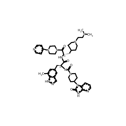 Cc1cc(C[C@H](NC(=O)N2CCC(n3c(=O)[nH]c4ncccc43)CC2)C(=O)N[C@@H](CC2CCN(CCN(C)C)CC2)C(=O)N2CCN(c3ccncc3)CC2)cc2cn[nH]c12